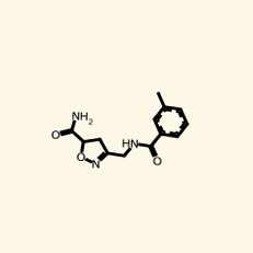 Cc1cccc(C(=O)NCC2=NOC(C(N)=O)C2)c1